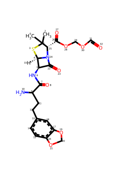 CC1(C)S[C@@H]2[C@H](NC(=O)C(N)CCc3ccc4c(c3)OCO4)C(=O)N2[C@H]1C(=O)OCOC=O